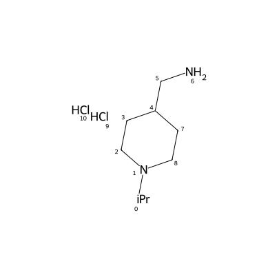 CC(C)N1CCC(CN)CC1.Cl.Cl